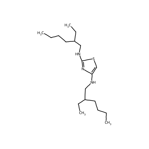 CCCCC(CC)CNc1csc(NCC(CC)CCCC)n1